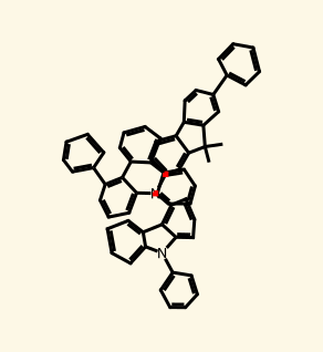 CC1(C)c2cc(-c3ccccc3)ccc2-c2ccc(N(c3cccc(-c4ccccc4)c3-c3ccccc3-c3ccccc3)c3cccc4c3c3ccccc3n4-c3ccccc3)cc21